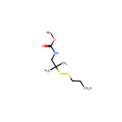 CC(C)(C)OC(=O)NCC(C)(C)SSCCC(=O)O